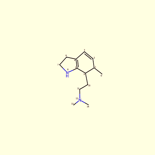 CC1C=CC2=C(NCC2)C1CCN(C)C